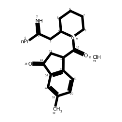 CCCC(=N)CC1CCCCN1C(=O)C1CC(=O)c2cc(C)ccc21.Cl